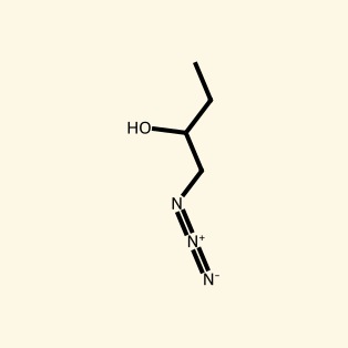 CCC(O)CN=[N+]=[N-]